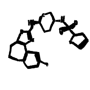 O=S(=O)(N[C@H]1CC[C@H](Nc2nc3c(s2)CCCc2ccc(F)cc2-3)CC1)c1cccs1